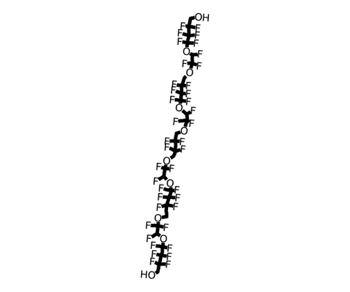 OCC(F)(F)C(F)(F)C(F)(F)OC(F)C(F)(F)OCC(F)(F)C(F)(F)C(F)(F)OC(F)C(F)(F)OCC(F)(F)C(F)(F)COC(F)(F)C(F)OC(F)(F)C(F)(F)C(F)(F)COC(F)(F)C(F)OC(F)(F)C(F)(F)C(F)(F)CO